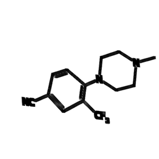 CN1CCN(c2ccc(C#N)cc2C(F)(F)F)CC1